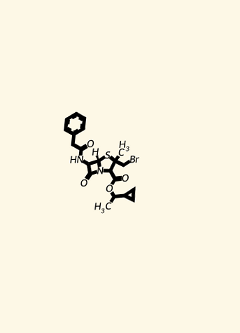 CC(OC(=O)C1N2C(=O)C(NC(=O)Cc3ccccc3)[C@@H]2SC1(C)CBr)C1CC1